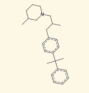 CC1CCCN(CC(C)Cc2ccc(C(C)(C)c3ccccc3)cc2)C1